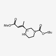 COC(=O)C=C(C)[C@H]1CN(C(=O)OC(C)(C)C)CCN1